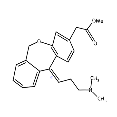 COC(=O)Cc1ccc2c(c1)OCc1ccccc1/C2=C/CCN(C)C